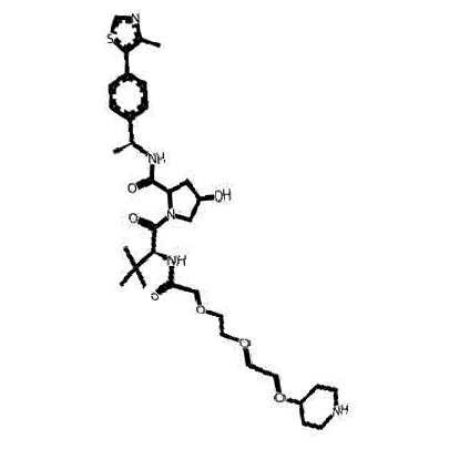 Cc1ncsc1-c1ccc([C@H](C)NC(=O)C2CC(O)CN2C(=O)[C@@H](NC(=O)COCCOCCOC2CCNCC2)C(C)(C)C)cc1